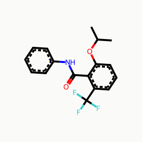 CC(C)Oc1cccc(C(F)(F)F)c1C(=O)Nc1ccccc1